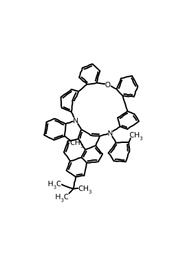 Cc1ccccc1N1c2cccc(c2)-c2ccccc2Oc2ccccc2-c2cccc(c2)N(c2ccccc2C)c2cc1c1ccc3cc(C(C)(C)C)cc4ccc2c1c34